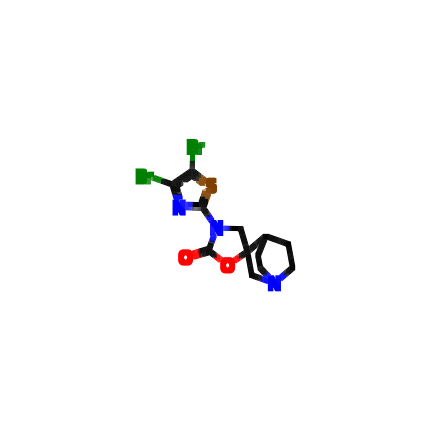 O=C1OC2(CN3CCC2CC3)CN1c1nc(Br)c(Br)s1